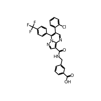 O=C(O)c1cccc(CNC(=O)c2cnn3c(-c4ccc(C(F)(F)F)cc4)c(-c4ccccc4Cl)cnc23)c1